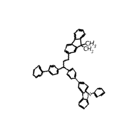 CC1(C)c2ccccc2-c2ccc(CCC(c3ccc(-c4ccccc4)cc3)c3ccc(-c4ccc5c(c4)c4ccccc4n5-c4ccccc4)cc3)cc21